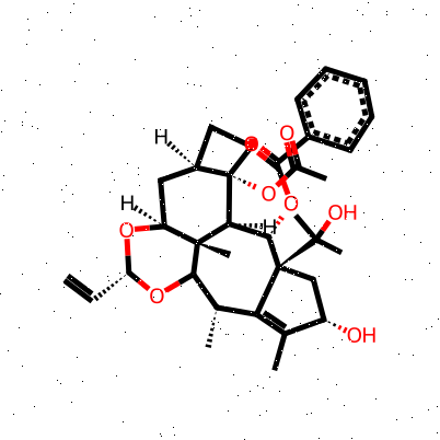 C=C[C@H]1OC2[C@@H](C)C3=C(C)[C@@H](O)C[C@@]3(C(C)(C)O)[C@@H](OC(=O)c3ccccc3)[C@@H]3[C@]4(OC(C)=O)CC[C@@H]4C[C@H](O1)[C@@]23C